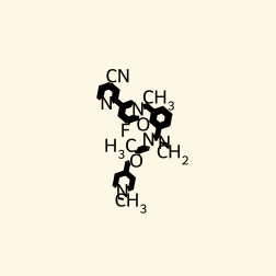 C=N/C(=N\C=C(/C)OCC1CCN(C)CC1)c1cccc([C@@H](C)n2cc(-c3cc(C#N)ccn3)cc(F)c2=O)c1